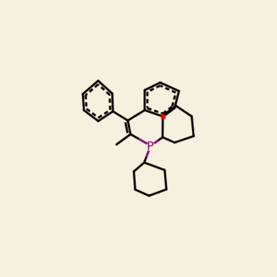 CC(=C(c1ccccc1)c1ccccc1)P(C1CCCCC1)C1CCCCC1